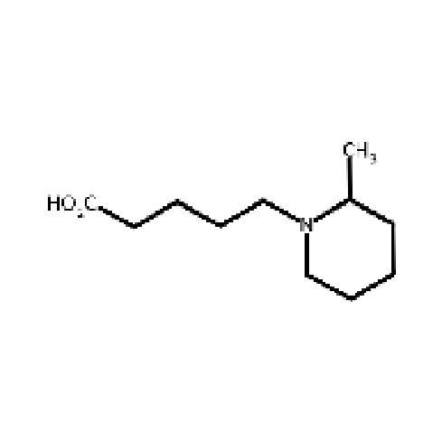 CC1CCCCN1CCCCC(=O)O